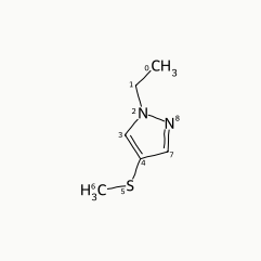 CCn1cc(SC)cn1